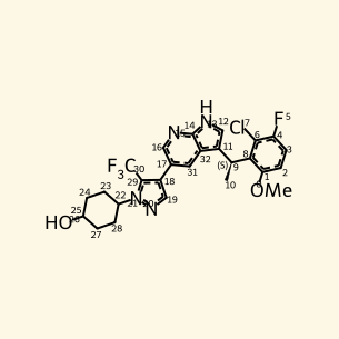 COc1ccc(F)c(Cl)c1[C@@H](C)c1c[nH]c2ncc(-c3cnn(C4CCC(O)CC4)c3C(F)(F)F)cc12